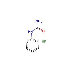 F.NC(=O)Nc1ccccc1